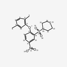 Cc1ccc(C)c(Oc2ccc([N+](=O)[O-])cc2S(=O)(=O)N2CCSCC2)c1